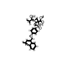 COC(=O)C1(NS(=O)(=O)c2ccc(OCc3cc(C)nc4ccccc34)cc2)CN(C(O)C(C)C)C1